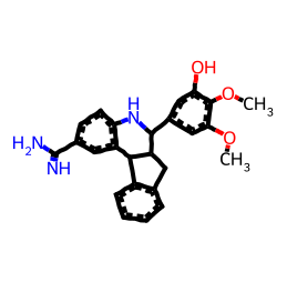 COc1cc(C2Nc3ccc(C(=N)N)cc3C3c4ccccc4CC23)cc(O)c1OC